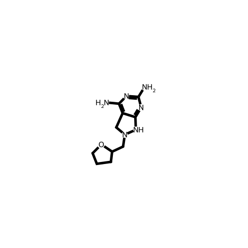 Nc1nc(N)c2c(n1)NN(CC1CCCO1)C2